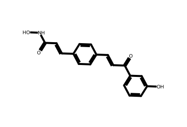 O=C(C=Cc1ccc(C=CC(=O)c2cccc(O)c2)cc1)NO